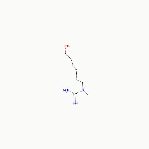 CN(CCCCCCO)C(=N)N